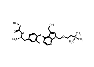 CC(C)(C)OC(=O)N[C@@H](Cc1ccc(Oc2ccnc3c2c(CO)cn3COCC[Si](C)(C)C)c(F)c1)C(=O)O